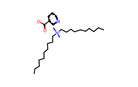 CCCCCCCCCC[N+](C)(C)CCCCCCCCCC.O=C([O-])c1cccnc1